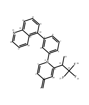 C=C1C=CN(c2cccc(-c3cccc4ncccc34)c2)C(C(C)C(F)(F)F)=C1